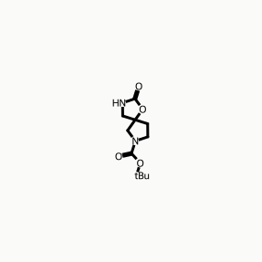 CC(C)(C)OC(=O)N1CCC2(CNC(=O)O2)C1